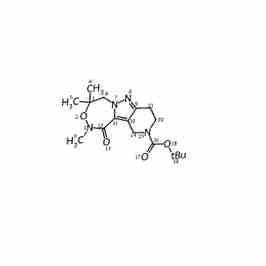 CN1OC(C)(C)Cn2nc3c(c2C1=O)CN(C(=O)OC(C)(C)C)CC3